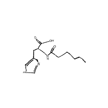 CCCCCC(=O)NC(Cc1c[nH]cn1)C(=O)O